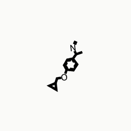 C=NC(C)c1ccc(OCC2CC2)cc1